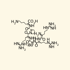 CC[C@H](C)[C@H](NC(=O)[C@H](CCCNC(=N)N)NC(=O)[C@@H](N)CCCNC(=N)N)C(=O)N[C@@H](CCCNC(=N)N)C(=O)N1CCC[C@H]1C(=O)N[C@@H](CCCCN)C(=O)O